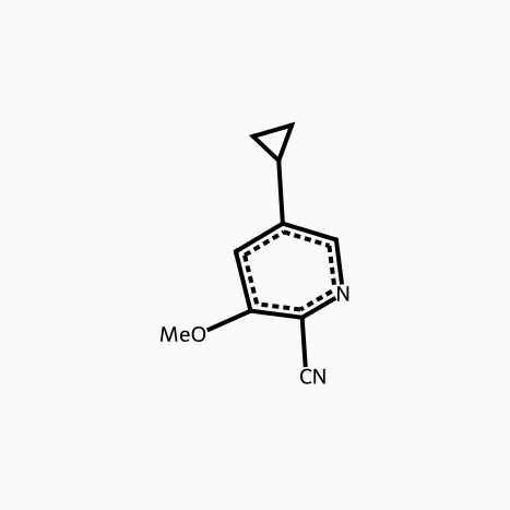 COc1cc(C2CC2)cnc1C#N